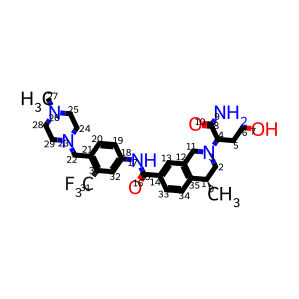 C[C@H]1CN(C(CCO)C(N)=O)Cc2cc(C(=O)Nc3ccc(CN4CCN(C)CC4)c(C(F)(F)F)c3)ccc21